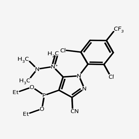 C=[N+](c1c(P(OCC)OCC)c(C#N)nn1-c1c(Cl)cc(C(F)(F)F)cc1Cl)N(C)C